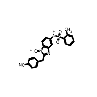 Cc1ccccc1S(=O)(=O)Nc1ccc2c(c1)nc(Cc1ccc(C#N)cc1)n2C